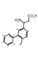 NC(CC(=O)O)c1ccc(F)c(-c2ccccc2)c1